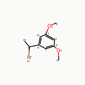 COc1cc(OC)cc(C(C)Br)c1